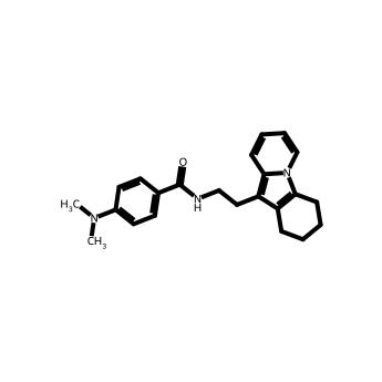 CN(C)c1ccc(C(=O)NCCc2c3c(n4ccccc24)CCCC3)cc1